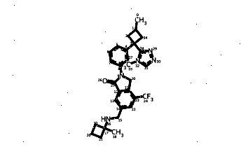 CC1CC(c2cccc(N3Cc4c(cc(CNC5(C)CCC5)cc4C(F)(F)F)C3=O)c2)(c2nncn2C)C1